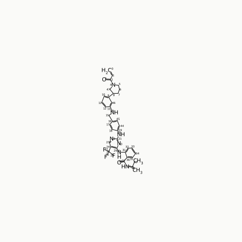 C=CC(=O)N1CCCC(c2cccc(NCc3ccc(Nc4ncc(C(F)(F)F)c(Nc5ccccc5C(=O)NC(C)C)n4)cc3)c2)C1